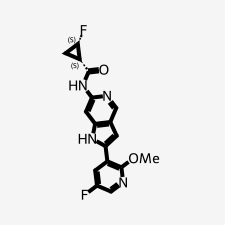 COc1ncc(F)cc1-c1cc2cnc(NC(=O)[C@@H]3C[C@@H]3F)cc2[nH]1